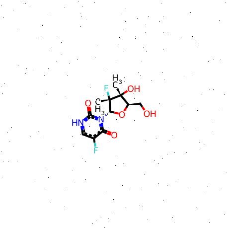 C[C@]1(F)[C@@H](n2c(=O)[nH]cc(F)c2=O)O[C@H](CO)[C@@]1(C)O